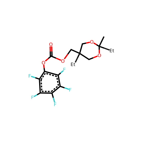 CCC1(COC(=O)Oc2c(F)c(F)c(F)c(F)c2F)COC(C)(CC)OC1